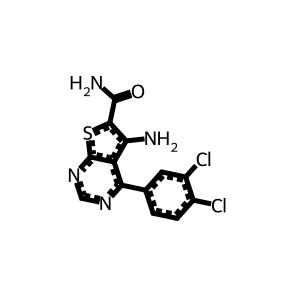 NC(=O)c1sc2ncnc(-c3ccc(Cl)c(Cl)c3)c2c1N